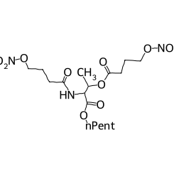 CCCCCOC(=O)C(NC(=O)CCCO[N+](=O)[O-])C(C)OC(=O)CCCO[N+](=O)[O-]